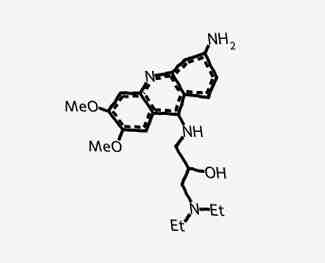 CCN(CC)CC(O)CNc1c2ccc(N)cc2nc2cc(OC)c(OC)cc12